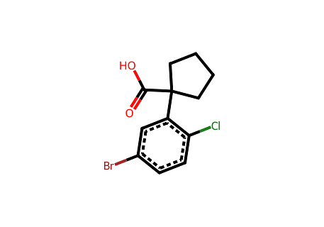 O=C(O)C1(c2cc(Br)ccc2Cl)CCCC1